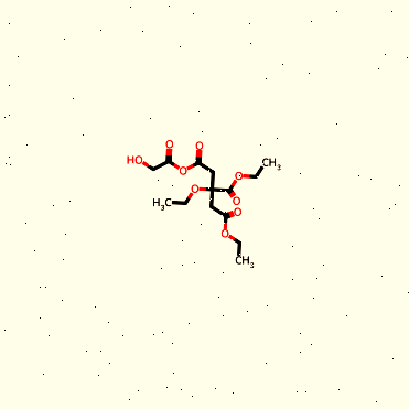 CCOC(=O)CC(CC(=O)OC(=O)CO)(OCC)C(=O)OCC